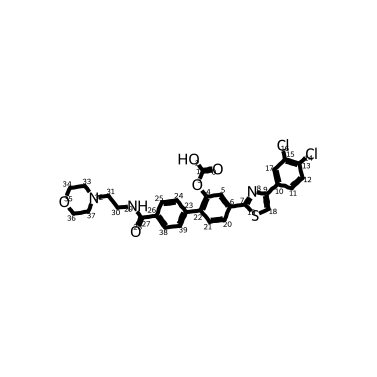 O=C(O)Oc1cc(-c2nc(-c3ccc(Cl)c(Cl)c3)cs2)ccc1-c1ccc(C(=O)NCCN2CCOCC2)cc1